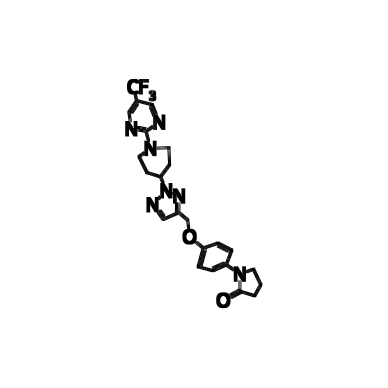 O=C1CCCN1c1ccc(OCc2cnn(C3CCN(c4ncc(C(F)(F)F)cn4)CC3)n2)cc1